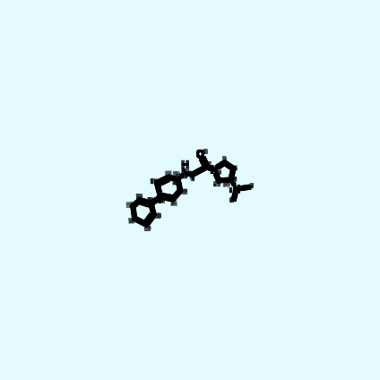 CN(C)[C@@H]1CCN(C(=O)CN[C@@H]2C=CC(C3=CCCC=C3)=CC2)C1